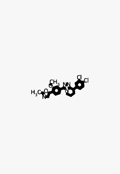 COc1cc(-c2nnc3n2CCCC3c2ccc(Cl)c(Cl)c2)ccc1C1CN=C(C)O1